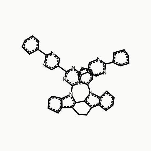 c1ccc(-c2ncc(-c3nc(-c4cnc(-c5ccccc5)nc4)nc(-n4c5c(c6ccccc64)CCc4c-5n(-c5ccccc5)c5ccccc45)n3)cn2)cc1